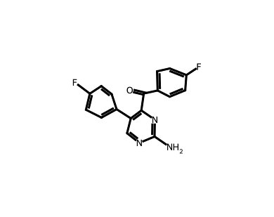 Nc1ncc(-c2ccc(F)cc2)c(C(=O)c2ccc(F)cc2)n1